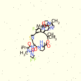 C=C(/C=N\C(=C\c1c2c3cc(c(F)cc3n1CC)-c1csc(n1)C[C@H](NC(=O)[C@H](C(C)C)N(C)C(=O)N1CC(F)(F)C1)C(=O)N1CCC[C@H](N1)C(=O)OCC(C)(C)C2)[C@H](C)OC)N1CCOCC1